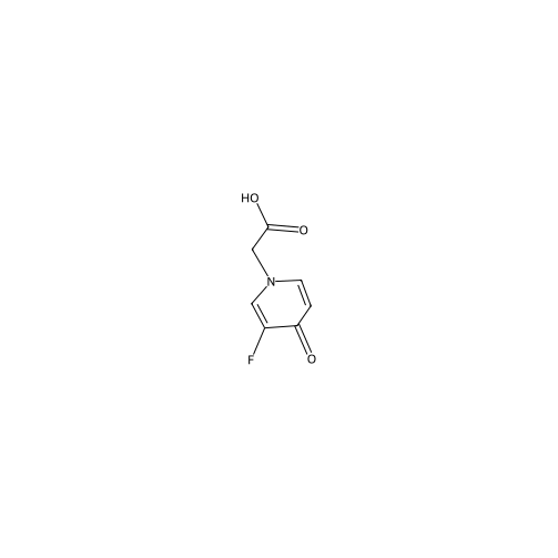 O=C(O)Cn1ccc(=O)c(F)c1